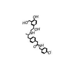 C[C@H](Cc1ccc(CC(=O)NCc2ccc(Cl)cc2)cc1)NC[C@@H](O)c1ccc(O)c(CO)c1